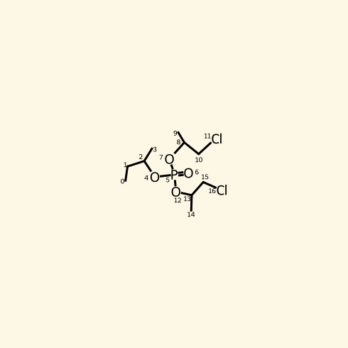 CCC(C)OP(=O)(OC(C)CCl)OC(C)CCl